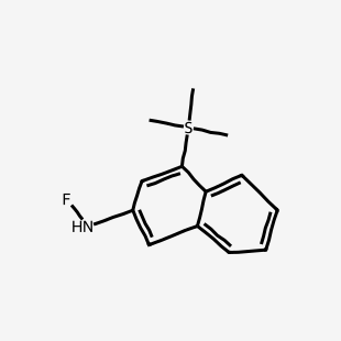 CS(C)(C)c1cc(NF)cc2ccccc12